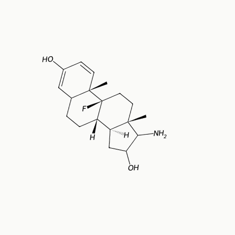 C[C@]12C=CC(O)=CC1CC[C@H]1[C@@H]3CC(O)C(N)[C@@]3(C)CC[C@]12F